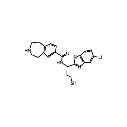 O=C(N[C@@H](CCS)c1nc2cc(Cl)ccc2[nH]1)c1ccc2c(c1)CCNCC2